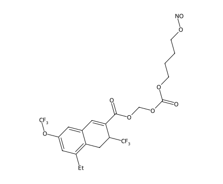 CCc1cc(OC(F)(F)F)cc2c1CC(C(F)(F)F)C(C(=O)OCOC(=O)OCCCCON=O)=C2